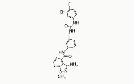 Cn1nc(N)c2c(C(=O)Nc3cccc(CNC(=O)Nc4ccc(F)c(Cl)c4)c3)cccc21